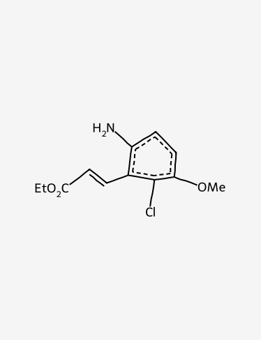 CCOC(=O)/C=C/c1c(N)ccc(OC)c1Cl